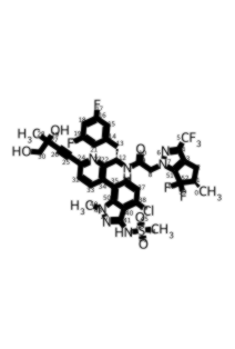 C[C@@H]1Cc2c(C(F)(F)F)nn(CC(=O)N[C@@H](Cc3cc(F)cc(F)c3)c3nc(C#CC(C)(O)CO)ccc3-c3ccc(Cl)c4c(NS(C)(=O)=O)nn(C)c34)c2C1(F)F